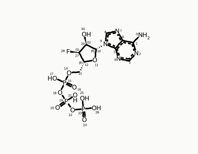 Nc1ncnc2c1ncn2[C@@H]1O[C@H](COP(=O)(O)OP(=O)(O)OP(=O)(O)O)[C@@H](F)[C@H]1O